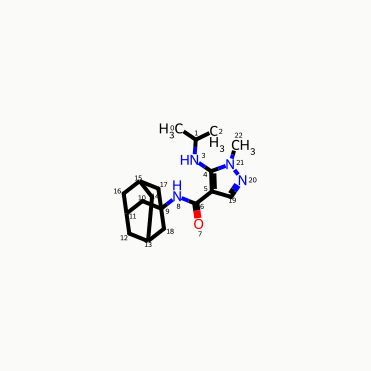 CC(C)Nc1c(C(=O)NC23CC4CC(CC(C4)C2)C3)cnn1C